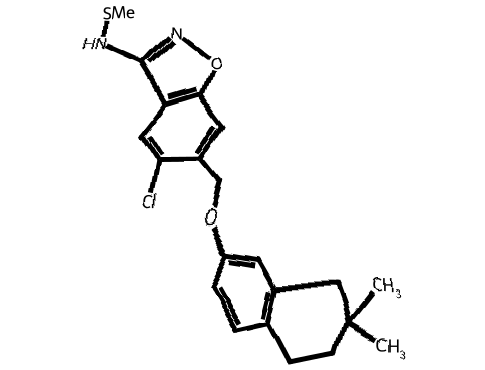 CSNc1noc2cc(COc3ccc4c(c3)CC(C)(C)CC4)c(Cl)cc12